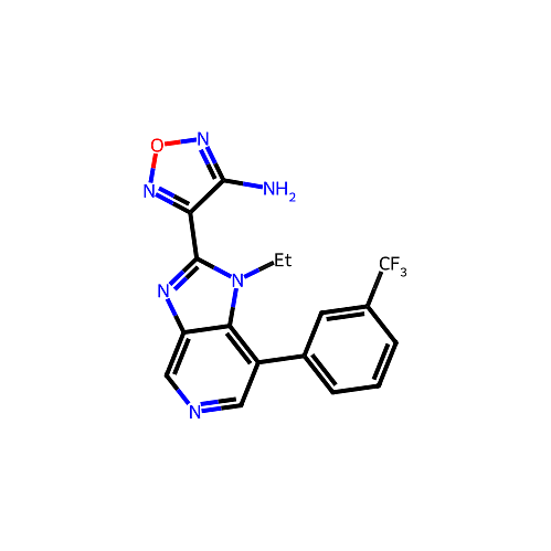 CCn1c(-c2nonc2N)nc2cncc(-c3cccc(C(F)(F)F)c3)c21